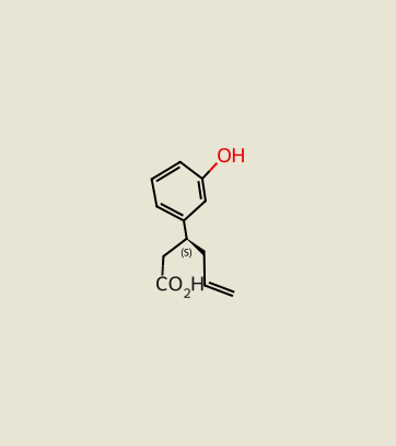 C=CC[C@@H](CC(=O)O)c1cccc(O)c1